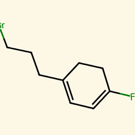 FC1=CC=C(CCCBr)CC1